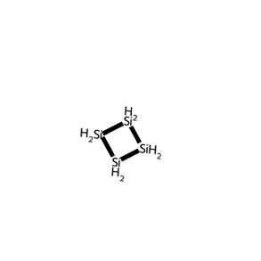 [SiH2]1[SiH2][SiH2][SiH2]1